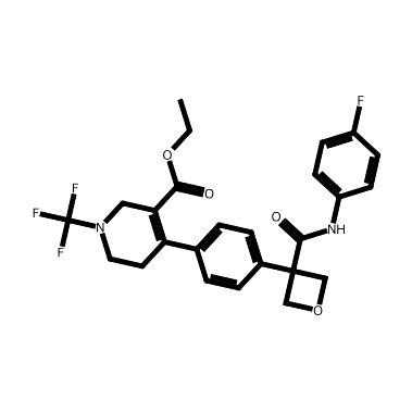 CCOC(=O)C1=C(c2ccc(C3(C(=O)Nc4ccc(F)cc4)COC3)cc2)CCN(C(F)(F)F)C1